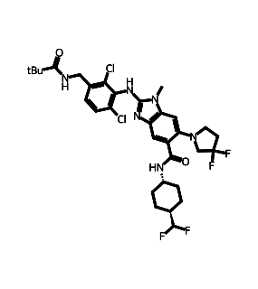 Cn1c(Nc2c(Cl)ccc(CNC(=O)C(C)(C)C)c2Cl)nc2cc(C(=O)N[C@H]3CC[C@H](C(F)F)CC3)c(N3CCC(F)(F)C3)cc21